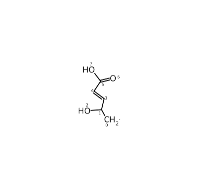 [CH2]C(O)C=CC(=O)O